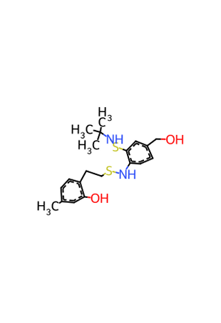 Cc1ccc(CCSNc2ccc(CO)cc2SNC(C)(C)C)c(O)c1